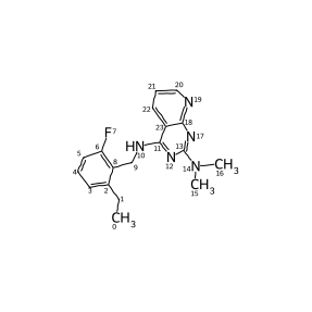 CCc1cccc(F)c1CNc1nc(N(C)C)nc2ncccc12